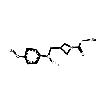 CN(CC1CN(C(=O)OC(C)(C)C)C1)c1ccc(OC(C)(C)C)cc1